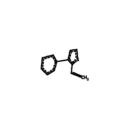 C=Cc1sccc1-c1ccccc1